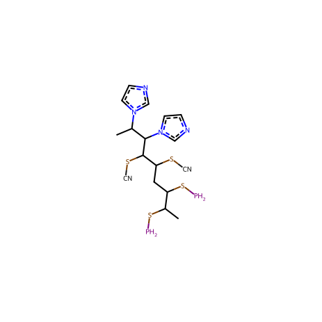 CC(SP)C(CC(SC#N)C(SC#N)C(C(C)n1ccnc1)n1ccnc1)SP